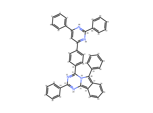 c1ccc(-c2cc(-c3ccc(-c4nc(-c5ccccc5)nc5c6ccccc6c(-c6ccccc6)n45)cc3)nc(-c3ccccc3)n2)cc1